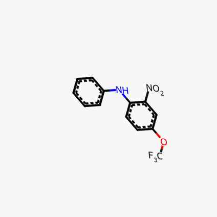 O=[N+]([O-])c1cc(OC(F)(F)F)ccc1Nc1ccccc1